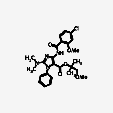 COCC(C)(C)OC(=O)c1c(NC(=O)c2ccc(Cl)cc2OC)nc(N(C)C)n1-c1ccccc1